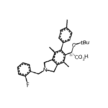 Cc1ccc(-c2c(C)c3c(c(C)c2[C@H](OC(C)(C)C)C(=O)O)CN(Cc2ccccc2F)C3)cc1